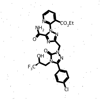 CCOC(=O)c1cccnc1-n1nc(Cn2nc(-c3ccc(Cl)cc3)n(C[C@H](O)C(F)(F)F)c2=O)nc1C(N)=O